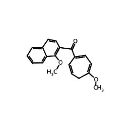 COC1=CC=C(C(=O)c2ccc3ccccc3c2OC)C=CC1